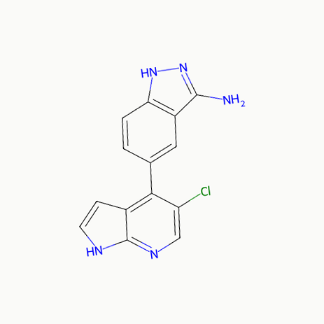 Nc1n[nH]c2ccc(-c3c(Cl)cnc4[nH]ccc34)cc12